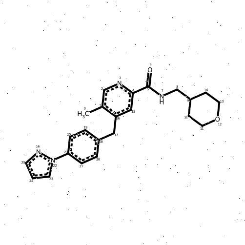 Cc1cnc(C(=O)NCC2CCOCC2)cc1Cc1ccc(-n2cccn2)cc1